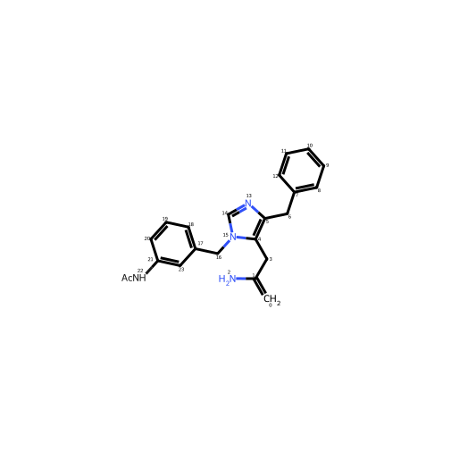 C=C(N)Cc1c(Cc2ccccc2)ncn1Cc1cccc(NC(C)=O)c1